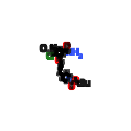 CC(C)(C)OC(=O)N1CCC(CC#CCOc2cc(C(N)=O)cc([N+](=O)[O-])c2Cl)CC1